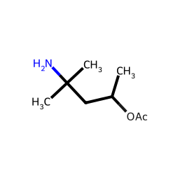 CC(=O)OC(C)CC(C)(C)N